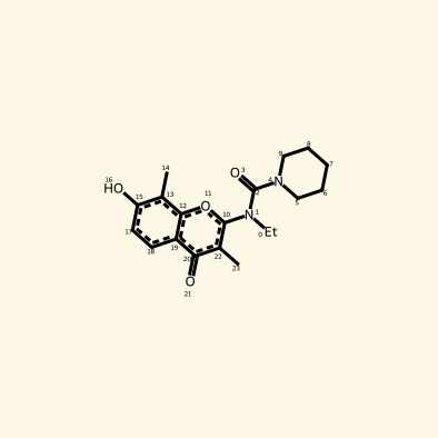 CCN(C(=O)N1CCCCC1)c1oc2c(C)c(O)ccc2c(=O)c1C